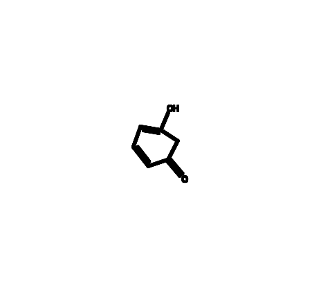 O=C1C=CC=C(O)C1